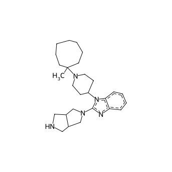 CC1(N2CCC(n3c(N4CC5CNCC5C4)nc4ccccc43)CC2)CCCCCCC1